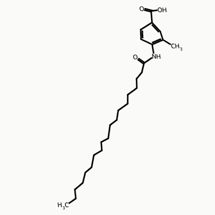 CCCCCCCCCCCCCCCCCCC(=O)Nc1ccc(C(=O)O)cc1C